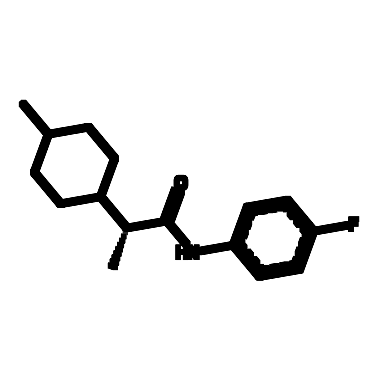 CC1CCC([C@@H](C)C(=O)Nc2ccc(F)cc2)CC1